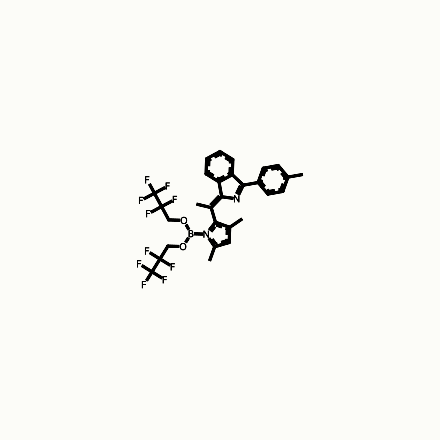 C/C(=C1/N=C(c2ccc(C)cc2)c2ccccc21)c1c(C)cc(C)n1B(OCC(F)(F)C(F)(F)F)OCC(F)(F)C(F)(F)F